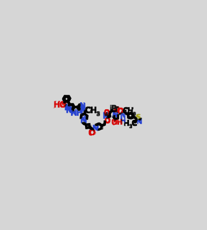 Cc1ncsc1-c1ccc([C@H](C)NC(=O)[C@@H]2C[C@@H](O)CN2C(=O)[C@@H](c2cc(OCCC3CCN(C(=O)C4CC(CN5CCC([C@H](C)n6cc(-c7cc(-c8ccccc8O)nnc7N)cn6)CC5)C4)CC3)no2)C(C)C)cc1